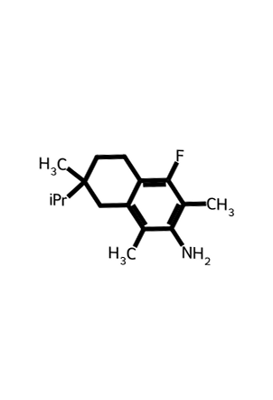 Cc1c(N)c(C)c2c(c1F)CCC(C)(C(C)C)C2